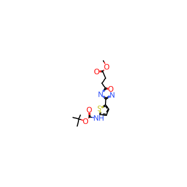 COC(=O)CCc1nc(-c2ccc(NC(=O)OC(C)(C)C)s2)no1